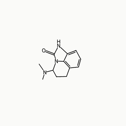 CN(C)C1CCc2cccc3[nH]c(=O)n1c23